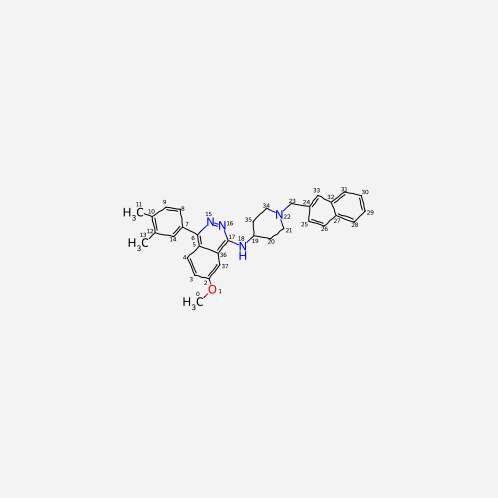 COc1ccc2c(-c3ccc(C)c(C)c3)nnc(NC3CCN(Cc4ccc5ccccc5c4)CC3)c2c1